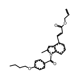 C=CCOC(=O)C=Cc1cccc2c1cc(C)n2C(=O)c1ccc(OCCCC)cc1